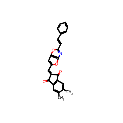 Cc1cc2c(cc1C)C(=O)C(=Cc1cc3oc(/C=C/c4ccccc4)nc3o1)C2=O